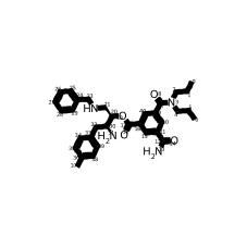 CCCN(CCC)C(=O)c1cc(C(N)=O)cc(C(=O)O[C@H](CNCc2ccccc2)[C@@H](N)Cc2ccc(C)cc2)c1